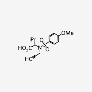 C#CCN(C(C(=O)O)C(C)C)S(=O)(=O)c1ccc(OC)cc1